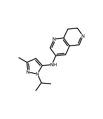 Cc1cc(Nc2cnc3c(c2)C=NCC3)n(C(C)C)n1